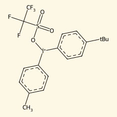 Cc1ccc([I+](OS(=O)(=O)C(F)(F)C(F)(F)F)c2ccc(C(C)(C)C)cc2)cc1